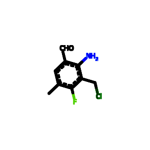 Cc1cc(C=O)c(N)c(CCl)c1F